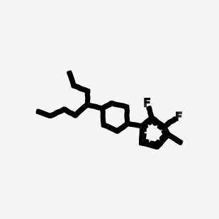 CCCCC(CCC)C1CCC(c2ccc(C)c(F)c2F)CC1